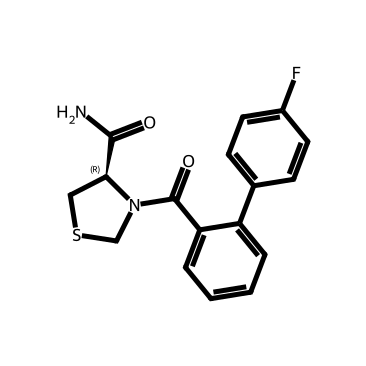 NC(=O)[C@@H]1CSCN1C(=O)c1ccccc1-c1ccc(F)cc1